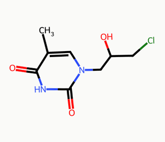 Cc1cn(CC(O)CCl)c(=O)[nH]c1=O